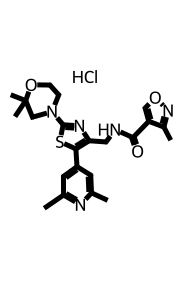 Cc1cc(-c2sc(N3CCOC(C)(C)C3)nc2CNC(=O)c2conc2C)cc(C)n1.Cl